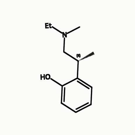 CCN(C)C[C@H](C)c1ccccc1O